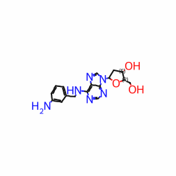 Nc1cccc(CNc2ncnc3c2ncn3C2C[C@H](O)[C@@H](CO)O2)c1